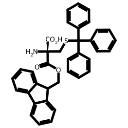 N[C@@](CSC(c1ccccc1)(c1ccccc1)c1ccccc1)(C(=O)O)C(=O)OCC1c2ccccc2-c2ccccc21